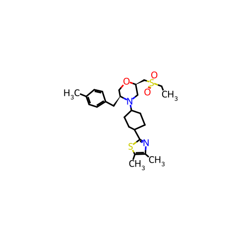 CCS(=O)(=O)C[C@H]1CN(C2CCC(c3nc(C)c(C)s3)CC2)[C@@H](Cc2ccc(C)cc2)CO1